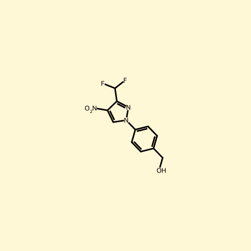 O=[N+]([O-])c1cn(-c2ccc(CO)cc2)nc1C(F)F